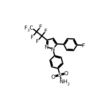 NS(=O)(=O)c1ccc(-n2nc(C(F)(F)C(F)(F)C(F)(F)F)cc2-c2ccc(F)cc2)cc1